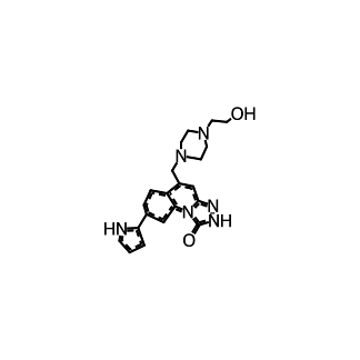 O=c1[nH]nc2cc(CN3CCN(CCO)CC3)c3ccc(-c4ccc[nH]4)cc3n12